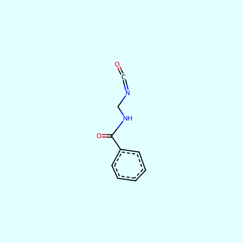 O=C=NCNC(=O)c1ccccc1